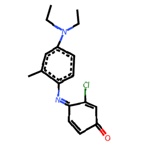 CCN(CC)c1ccc(N=C2C=CC(=O)C=C2Cl)c(C)c1